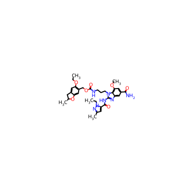 CCOc1cc2c(cc1COC(=O)NCCCn1c(NC(=O)c3cc(C)nn3CC)nc3cc(C(N)=O)cc(OC)c31)OC(C)C2